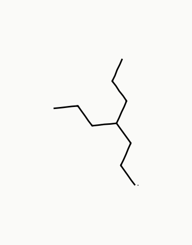 [CH2]CCC(CCC)CCC